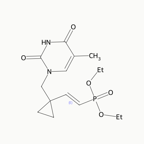 CCOP(=O)(/C=C/C1(Cn2cc(C)c(=O)[nH]c2=O)CC1)OCC